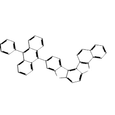 c1ccc(-c2c3ccccc3c(-c3ccc4c(c3)oc3ccc5oc6c7ccccc7ccc6c5c34)c3ccccc23)cc1